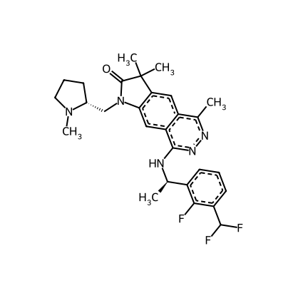 Cc1nnc(N[C@H](C)c2cccc(C(F)F)c2F)c2cc3c(cc12)C(C)(C)C(=O)N3C[C@H]1CCCN1C